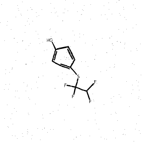 Oc1ccc(SC(F)(F)C(F)F)cc1